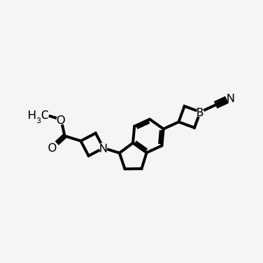 COC(=O)C1CN(C2CCc3cc(C4CB(C#N)C4)ccc32)C1